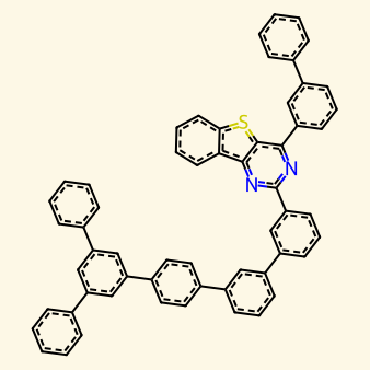 c1ccc(-c2cc(-c3ccccc3)cc(-c3ccc(-c4cccc(-c5cccc(-c6nc(-c7cccc(-c8ccccc8)c7)c7sc8ccccc8c7n6)c5)c4)cc3)c2)cc1